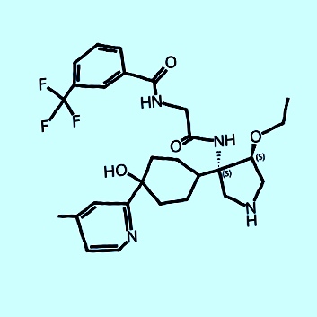 CCO[C@H]1CNC[C@@]1(NC(=O)CNC(=O)c1cccc(C(F)(F)F)c1)C1CCC(O)(c2cc(C)ccn2)CC1